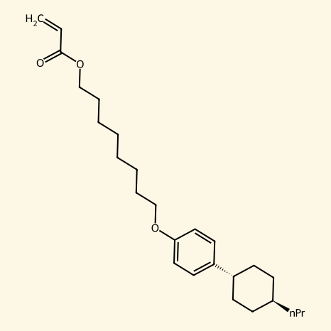 C=CC(=O)OCCCCCCCCOc1ccc([C@H]2CC[C@H](CCC)CC2)cc1